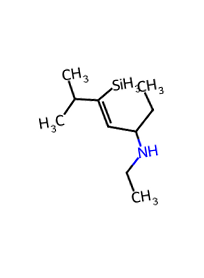 CCNC(C=C([SiH3])C(C)C)CC